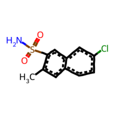 Cc1cc2ccc(Cl)cc2cc1S(N)(=O)=O